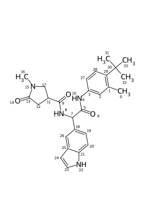 Cc1cc(NC(=O)C(NC(=O)C2CC(=O)N(C)C2)c2ccc3[nH]ccc3c2)ccc1C(C)(C)C